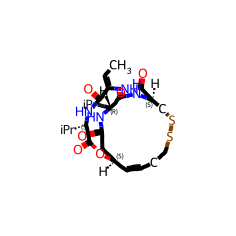 CC=C1NC(=O)[C@H]2CSSCCC=C[C@H](CC(=O)N[C@H](C(C)C)C(=O)N2)OC(=O)[C@H](C(C)C)NC1=O